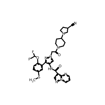 CSc1ccc(OC(F)F)c(-c2nn(CC(=O)N3CCC(N4CCC(C#N)C4)CC3)cc2NC(=O)c2cnn3cccnc23)c1